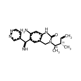 C=C[C@H](C)[C@@H](C)N1Cc2cc(C(=N)c3ccnnc3)c(N)cc2NC1=O